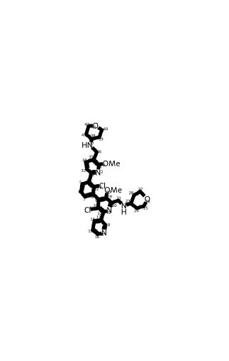 COc1nc(-c2cccc(-c3c(Cl)c(-c4cccnc4)nc(CNC4CCOCC4)c3OC)c2Cl)ccc1CNC1CCOCC1